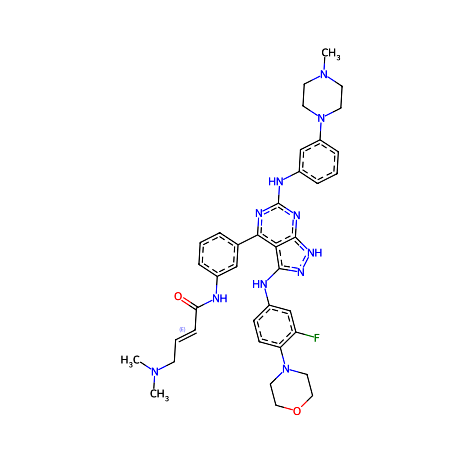 CN(C)C/C=C/C(=O)Nc1cccc(-c2nc(Nc3cccc(N4CCN(C)CC4)c3)nc3[nH]nc(Nc4ccc(N5CCOCC5)c(F)c4)c23)c1